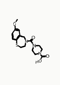 COc1ccc2c(c1)CN(C(=O)N1CCN(C(=O)O)CC1)CCS2